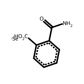 NC(=O)c1ccccc1C(=O)O.[Se]